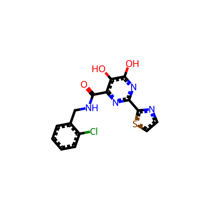 O=C(NCc1ccccc1Cl)c1nc(-c2nccs2)nc(O)c1O